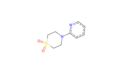 O=S1(=O)CCN(c2ccccn2)CC1